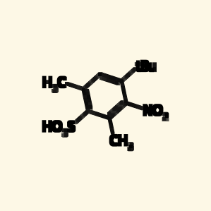 Cc1cc(C(C)(C)C)c([N+](=O)[O-])c(C)c1S(=O)(=O)O